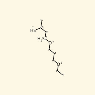 CCOCCCO[SiH2]CC(C)S